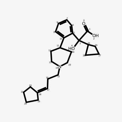 O=C(O)C(O)(c1ccccc1C1CCN(CCC=C2CCCC2)CC1)C1CCC1